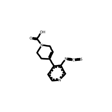 O=C(O)N1CC=C(c2ccncc2N=C=S)CC1